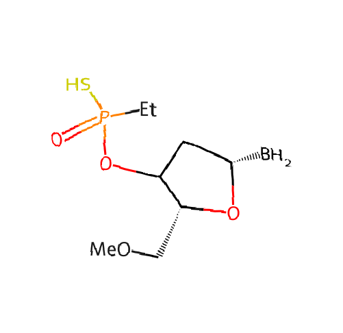 B[C@H]1CC(OP(=O)(S)CC)[C@@H](COC)O1